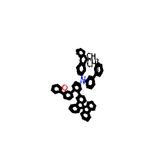 CC1(C)c2ccccc2-c2ccc(N(c3cccc(-c4ccccc4)c3)c3ccc(-c4cccc5c4oc4ccccc45)c(-c4ccc5c(c4)-c4ccccc4C54c5ccccc5-c5ccccc54)c3)cc21